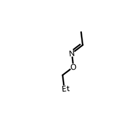 C/C=N/OCCC